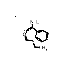 CCCC=O.NC(=O)c1ccccc1